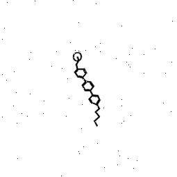 CCCCCc1ccc(-c2ccc(-c3ccc(CCOC)cc3)cc2)cc1